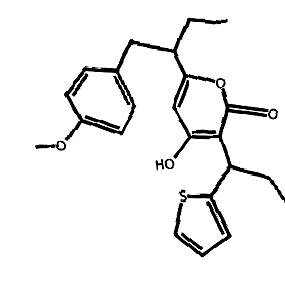 CCC(Cc1ccc(OC)cc1)c1cc(O)c(C(CC)c2cccs2)c(=O)o1